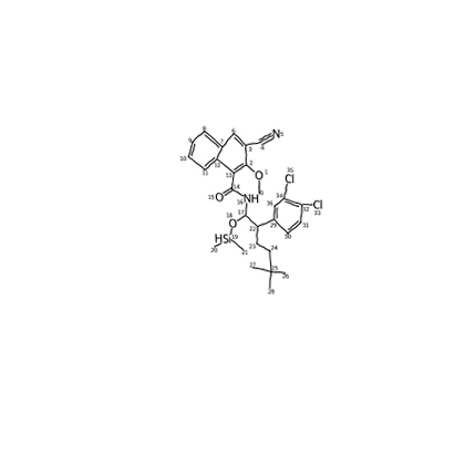 COc1c(C#N)cc2ccccc2c1C(=O)NC(O[SiH](C)C)C(CCC(C)(C)C)c1ccc(Cl)c(Cl)c1